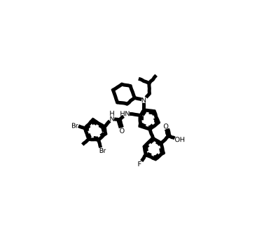 Cc1c(Br)cc(NC(=O)Nc2cc(-c3cc(F)ccc3C(=O)O)ccc2N(CC(C)C)C2CCCCC2)cc1Br